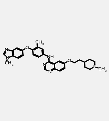 Cc1cc(Nc2ncnc3ccc(OCCC4CCN(C)CC4)cc23)ccc1Oc1ccc2c(c1)ncn2C